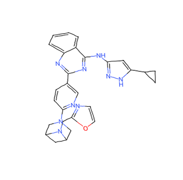 c1ccc2c(Nc3cc(C4CC4)[nH]n3)nc(-c3ccc(N4CC5CC(C4)N5Cc4ncco4)nc3)nc2c1